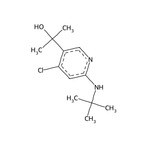 CC(C)(C)Nc1cc(Cl)c(C(C)(C)O)cn1